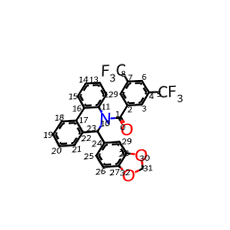 O=C(c1cc(C(F)(F)F)cc(C(F)(F)F)c1)N1c2ccccc2-c2ccccc2C1c1ccc2c(c1)OCO2